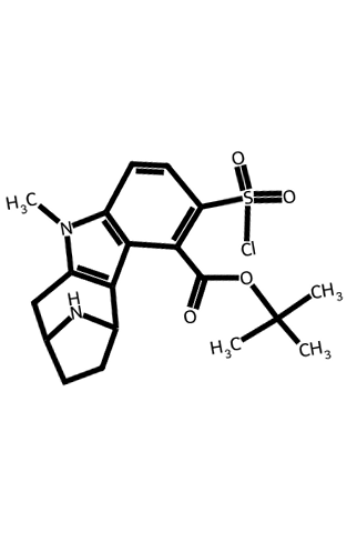 Cn1c2c(c3c(C(=O)OC(C)(C)C)c(S(=O)(=O)Cl)ccc31)C1CCC(C2)N1